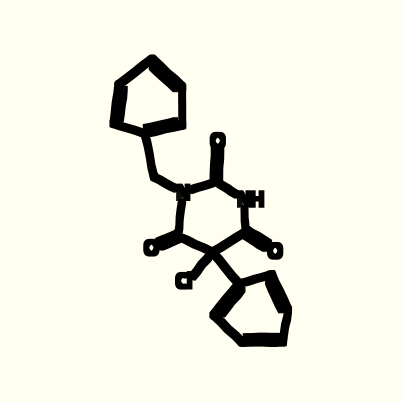 O=C1NC(=O)C(Cl)(c2ccccc2)C(=O)N1Cc1ccccc1